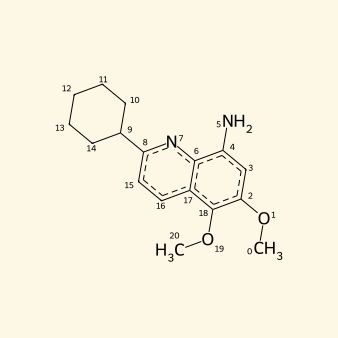 COc1cc(N)c2nc(C3CCCCC3)ccc2c1OC